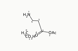 CC(=O)O.CC(=O)OC(=O)CCN